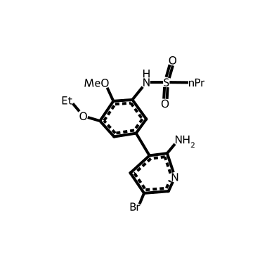 CCCS(=O)(=O)Nc1cc(-c2cc(Br)cnc2N)cc(OCC)c1OC